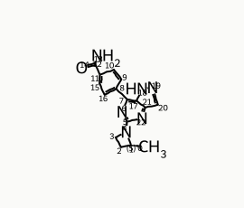 C[C@H]1CCN1c1nc(-c2ccc(C(N)=O)cc2)c2[nH]ncc2n1